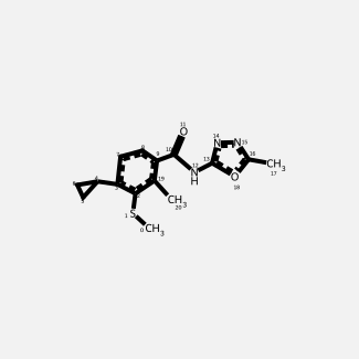 CSc1c(C2CC2)ccc(C(=O)Nc2nnc(C)o2)c1C